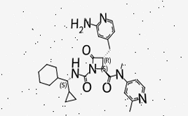 Cc1cc(N(C)C(=O)[C@@H]2[C@@H](Cc3ccnc(N)c3)C(=O)N2C(=O)N[C@@H](C2CCCCC2)C2CC2)ccn1